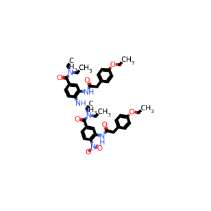 CCOc1ccc(CC(=O)Nc2cc(C(=O)N(CC)CC)ccc2N)cc1.CCOc1ccc(CC(=O)Nc2cc(C(=O)N(CC)CC)ccc2[N+](=O)[O-])cc1